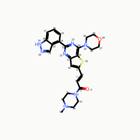 CN1CCN(C(=O)/C=C/c2cc3nc(-c4cccc5[nH]ncc45)nc(N4CCOCC4)c3s2)CC1